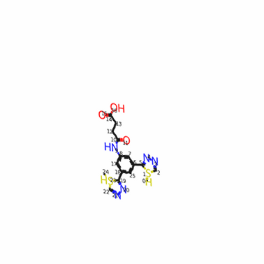 C[SH]1C=NN=C1c1cc(NC(=O)CCC(=O)O)cc(C2=NN=C[SH]2C)c1